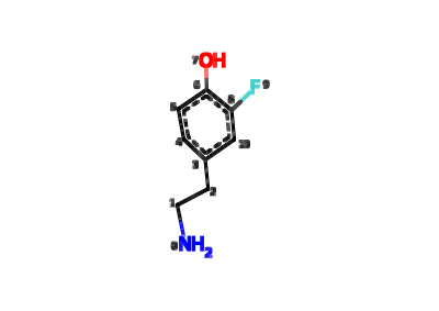 NCCc1ccc(O)c(F)c1